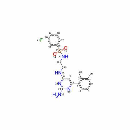 Cc1cccc(-c2cc(NCCNS(=O)(=O)c3cccc(F)c3)nc(N)n2)c1C